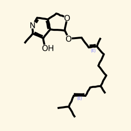 C/C(=C\COC1OCc2cnc(C)c(O)c21)CCCC(C)C/C=C/C(C)C